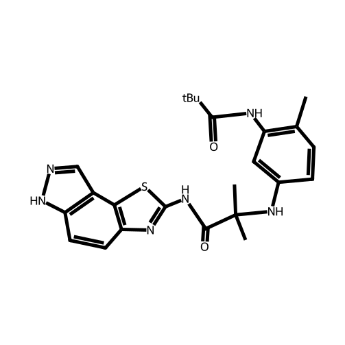 Cc1ccc(NC(C)(C)C(=O)Nc2nc3ccc4[nH]ncc4c3s2)cc1NC(=O)C(C)(C)C